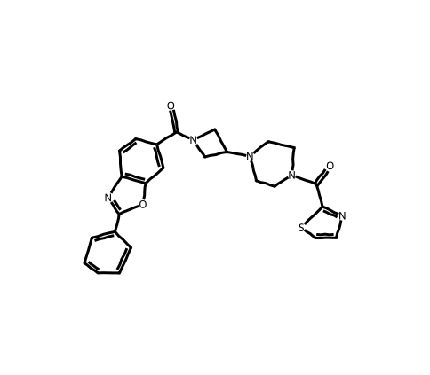 O=C(c1ccc2nc(-c3ccccc3)oc2c1)N1CC(N2CCN(C(=O)c3nccs3)CC2)C1